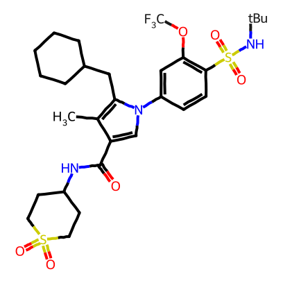 Cc1c(C(=O)NC2CCS(=O)(=O)CC2)cn(-c2ccc(S(=O)(=O)NC(C)(C)C)c(OC(F)(F)F)c2)c1CC1CCCCC1